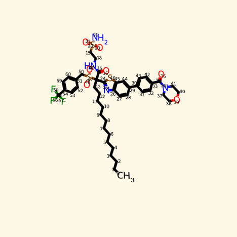 CCCCCCCCCCCCCCC(C(=O)NCCS(N)(=O)=O)(c1nc2ccc(-c3ccc(C(=O)N4CCOCC4)cc3)cc2s1)S(=O)(=O)Cc1ccc(C(F)(F)F)cc1